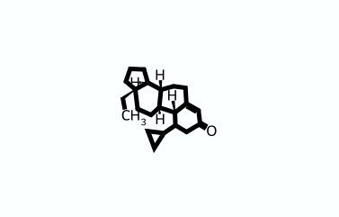 CC[C@@]12CCC[C@H]1[C@@H]1CCC3=CC(=O)CC(C4CC4)[C@@H]3[C@H]1CC2